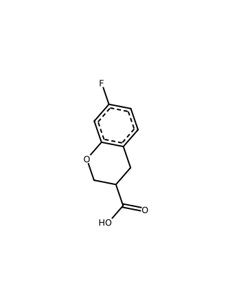 O=C(O)C1COc2cc(F)ccc2C1